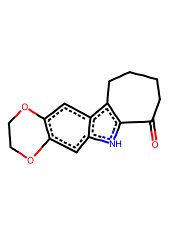 O=C1CCCCc2c1[nH]c1cc3c(cc21)OCCO3